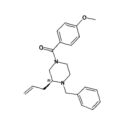 C=CC[C@H]1CN(C(=O)c2ccc(OC)cc2)CCN1Cc1ccccc1